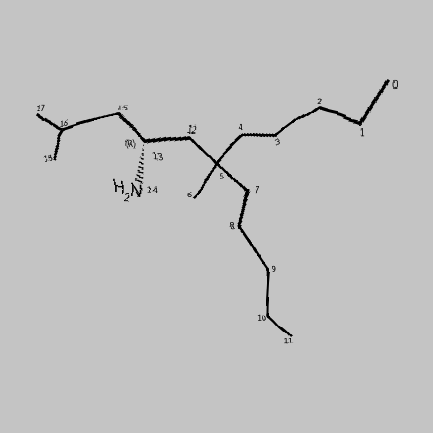 CCCCCC(C)(CCCCC)C[C@H](N)CC(C)C